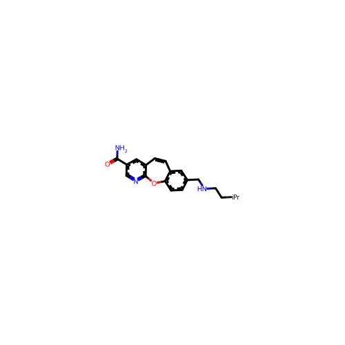 CC(C)CCNCc1ccc2c(c1)C=Cc1cc(C(N)=O)cnc1O2